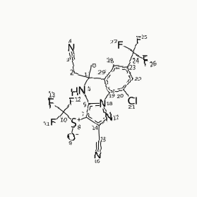 CC1(CC#N)Nc2c([S+]([O-])C(F)(F)F)c(C#N)nn2-c2c(Cl)cc(C(F)(F)F)cc21